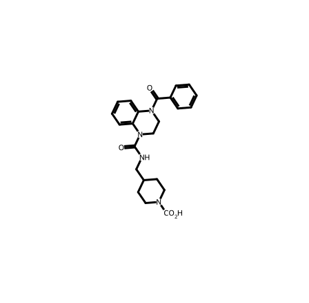 O=C(O)N1CCC(CNC(=O)N2CCN(C(=O)c3ccccc3)c3ccccc32)CC1